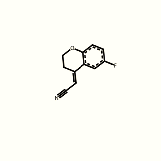 N#CC=C1CCOc2ccc(F)cc21